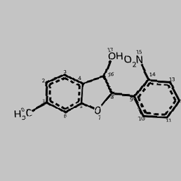 Cc1ccc2c(c1)OC(c1ccccc1[N+](=O)[O-])C2O